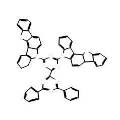 C1=Cc2c(n(-c3nc(-c4nc(-c5ccccc5)nc(-c5ccccc5)n4)nc(-n4c5c(c6ccccc64)C4Sc6ccccc6C4C=C5)n3)c3ccc4c5ccccc5sc4c23)CC1